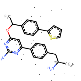 Nc1nc(OC(c2ccc(-c3cccs3)cc2)C(F)(F)F)cc(-c2ccc(C[C@H](N)C(=O)O)cc2)n1